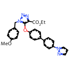 CCOC(=O)c1nnn(Cc2ccc(OC)cc2)c1Oc1ccc(-c2ccc(-n3cccn3)cc2)cc1